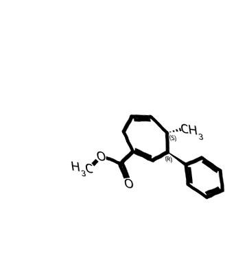 COC(=O)C1=C[C@H](c2ccccc2)[C@@H](C)C=CC1